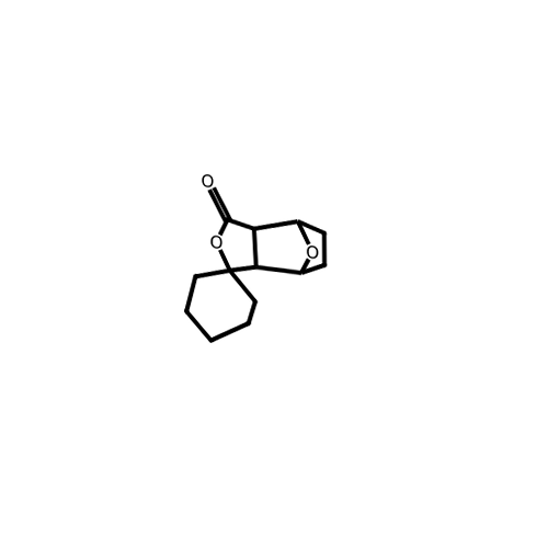 O=C1OC2(CCCCC2)C2C3CCC(O3)C12